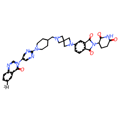 [2H]c1ccc2ncn(-c3cnc(N4CCC(CN5CC6(C5)CN(c5ccc7c(c5)C(=O)N(C5CCC(=O)NC5=O)C7=O)C6)CC4)nc3)c(=O)c2c1